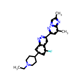 CCN1CCC(c2cc(F)c3cc(-c4cc(C)c5nc(C)cn5n4)nnc3c2)CC1